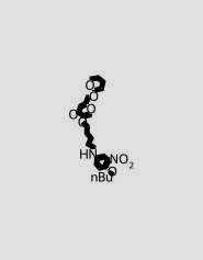 CCCCOc1ccc(NCCCCCOc2coc(COC3CCCCO3)cc2=O)cc1[N+](=O)[O-]